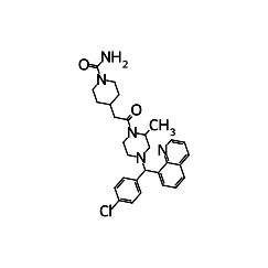 CC1CN(C(c2ccc(Cl)cc2)c2cccc3cccnc23)CCN1C(=O)CC1CCN(C(N)=O)CC1